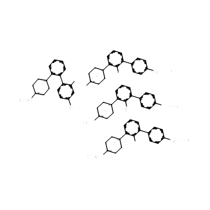 CCCCCc1ccc(-c2cccc(C34CCC(CC)(CC3)CC4)c2F)cc1.CCCCCc1ccc(-c2cccc(C34CCC(CCC)(CC3)CC4)c2F)cc1.CCCCCc1ccc(-c2cccc(C34CCC(CCCCC)(CC3)CC4)c2F)cc1.CCCCCc1ccc(-c2ccccc2C23CCC(CCCC)(CC2)CC3)c(F)c1